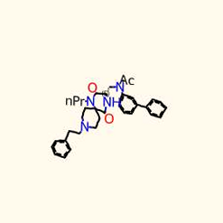 CCCN1C(=O)[C@H](CN(C(C)=O)c2cccc(-c3ccccc3)c2)NC(=O)C12CCN(CCc1ccccc1)CC2